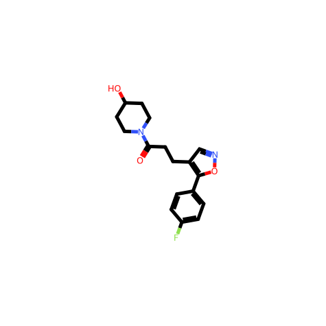 O=C(CCc1cnoc1-c1ccc(F)cc1)N1CCC(O)CC1